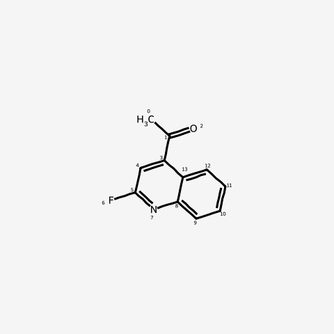 CC(=O)c1cc(F)nc2ccccc12